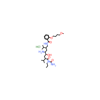 CCCN(C(N)=O)C(=O)C(CC(O)C(N)CC(CNC(=O)c1ccccc1OCCCCOC)C(C)C)C(C)C.Cl